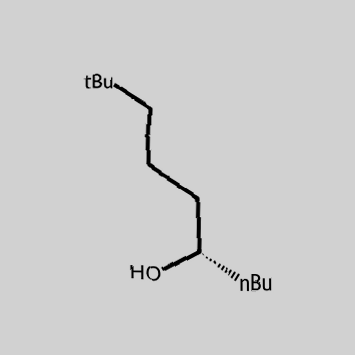 CCCC[C@H](O)CCCC(C)(C)C